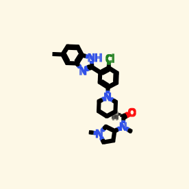 Cc1ccc2[nH]c(-c3cc(N4CCC[C@@H](C(=O)N(C)C5CCN(C)C5)C4)ccc3Cl)nc2c1